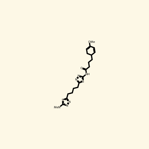 CNc1nnc(CCCCc2nnc(NC(=O)CCCC3C=CC(OC)=CC3)s2)s1